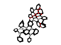 FC(F)(F)c1ccccc1N1c2cc3c(cc2B2c4ccccc4N(c4ccccc4)c4cc(N(c5ccccc5)c5ccccc5)cc1c42)B1c2ccccc2N(c2c(-c4ccccc4)cccc2-c2ccccc2)c2cc(N(c4ccccc4)c4c(-c5ccccc5)cccc4-c4ccccc4)cc(c21)S3